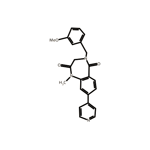 COc1cccc(CN2CC(=O)N(C)c3cc(-c4ccncc4)ccc3C2=O)c1